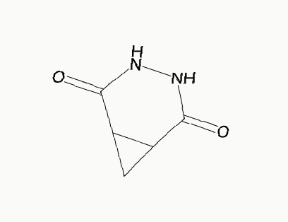 O=C1NNC(=O)C2CC12